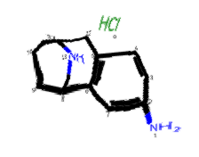 Cl.Nc1ccc2c(c1)C1CCC(C2)N1